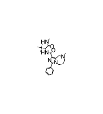 CNC(=O)C(NC(=O)c1nc(-c2ccccc2)n2c1CN(C)CCC2)C(C)(C)C